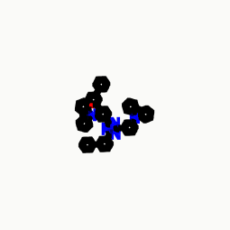 c1ccc(-c2cccc(-c3nc(-c4cccc(-n5c6ccccc6c6ccccc65)c4)nc(-c4ccc(-c5cccc(-c6ccccc6)c5)c(-n5c6ccccc6c6ccccc65)c4)n3)c2)cc1